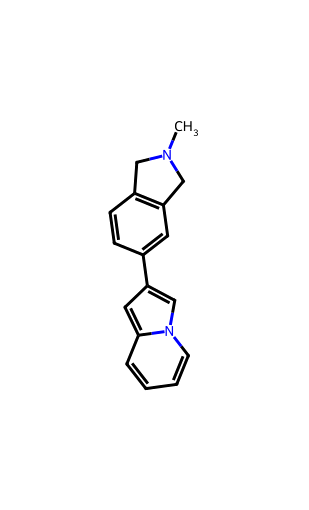 CN1Cc2ccc(-c3cc4ccccn4c3)cc2C1